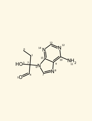 CCC(O)(C=O)n1cnc2c(N)ncnc21